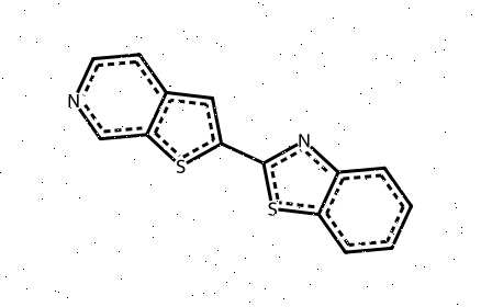 c1ccc2sc(-c3cc4ccncc4s3)nc2c1